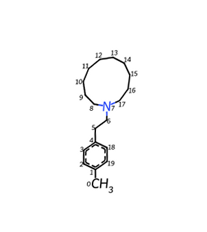 Cc1ccc(CCN2CCCCCCCCCC2)cc1